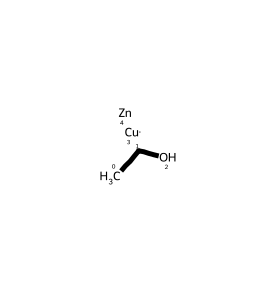 CCO.[Cu].[Zn]